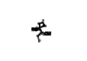 [CH2]CC(O)C1(O)CCC1